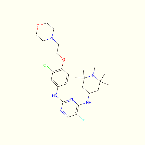 CN1C(C)(C)CC(Nc2nc(Nc3ccc(OCCN4CCOCC4)c(Cl)c3)ncc2F)CC1(C)C